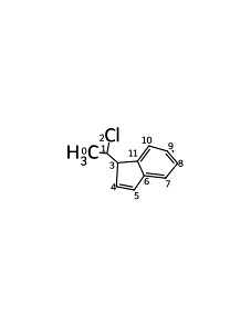 CC(Cl)C1C=Cc2cc[c]cc21